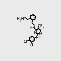 NCCc1ccccc1CCNc1nc(Nc2ccc(Cl)c(Cl)c2)ncc1C(F)(F)F